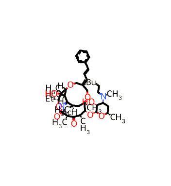 CC[C@H]1OC(=O)[C@H](C)C(=O)[C@H](C)[C@@H](O[C@@H]2O[C@H](C)C[C@H](N(C)CCC(C)(C)C)[C@H]2O)[C@@]2(C)C[C@@H](C)/C(=N\C(C)=O)[C@H](C)[C@@H](OC/C(=C\C=C\c3ccccc3)CO2)[C@]1(C)O